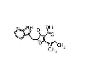 CCN(C)C1=C(C(=O)O)C(=O)C(=Cc2c[nH]c3ncccc23)O1